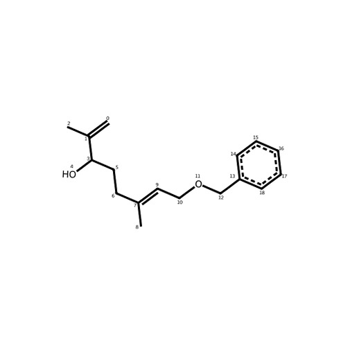 C=C(C)C(O)CC/C(C)=C/COCc1ccccc1